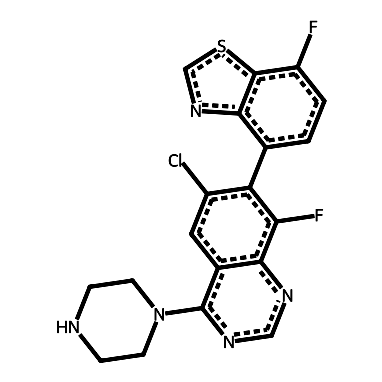 Fc1c(-c2ccc(F)c3scnc23)c(Cl)cc2c(N3CCNCC3)ncnc12